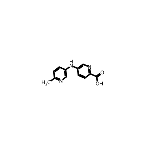 Cc1ccc(Nc2ccc(C(=O)O)nc2)cn1